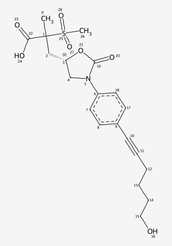 CC(C[C@H]1CN(c2ccc(C#CCCCCO)cc2)C(=O)O1)(C(=O)O)S(C)(=O)=O